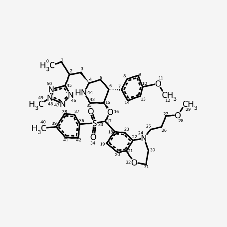 CCC(C[C@H]1C[C@H](c2ccc(OC)cc2)[C@@H](OC(c2ccc3c(c2)N(CCCOC)CCO3)S(=O)(=O)c2ccc(C)cc2)CN1)c1nnn(C)n1